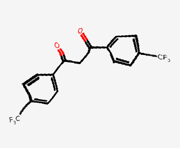 O=C(CC(=O)c1ccc(C(F)(F)F)cc1)c1ccc(C(F)(F)F)cc1